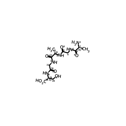 C[C@H](N)C(=O)NCC(=O)N[C@@H](C)C(=O)NCC(=O)N[C@@H](CO)C(=O)O